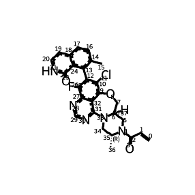 C=CC(=O)N1C[C@H]2COc3c(Cl)c(-c4c(C)ccc5cc[nH]c(=O)c45)c(F)c4ncnc(c34)N2C[C@H]1C